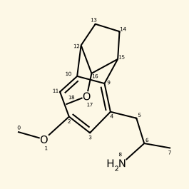 COc1cc(CC(C)N)c2c(c1)C1CCC2C1OC